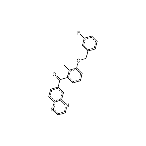 Cc1c(OCc2cccc(F)c2)cccc1C(=O)c1ccc2nccnc2c1